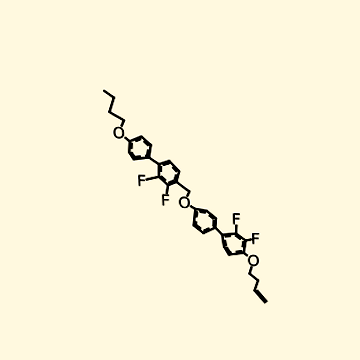 C=CCCOc1ccc(-c2ccc(OCc3ccc(-c4ccc(OCCCC)cc4)c(F)c3F)cc2)c(F)c1F